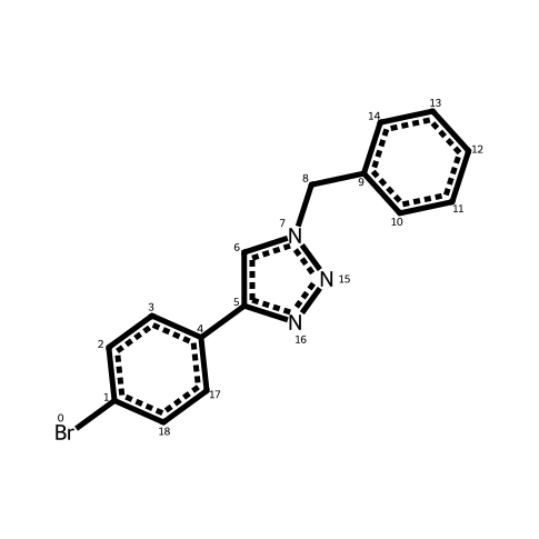 Brc1ccc(-c2cn(Cc3ccccc3)nn2)cc1